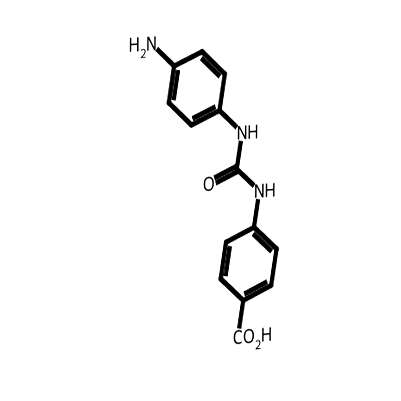 Nc1ccc(NC(=O)Nc2ccc(C(=O)O)cc2)cc1